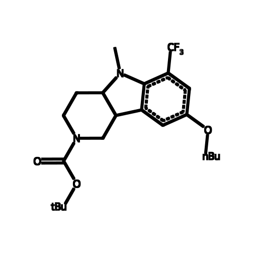 CCCCOc1cc2c(c(C(F)(F)F)c1)N(C)C1CCN(C(=O)OC(C)(C)C)CC21